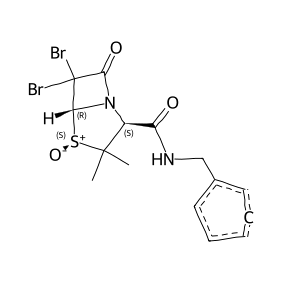 CC1(C)[C@H](C(=O)NCc2ccccc2)N2C(=O)C(Br)(Br)[C@H]2[S@+]1[O-]